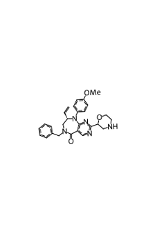 C=C[C@@H]1CN(Cc2ccccc2)C(=O)c2cnc(C3CNCCO3)nc2N1c1ccc(OC)cc1